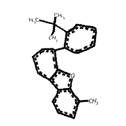 Cc1cccc2c1oc1c(-c3ccccc3C(C)(C)C)cccc12